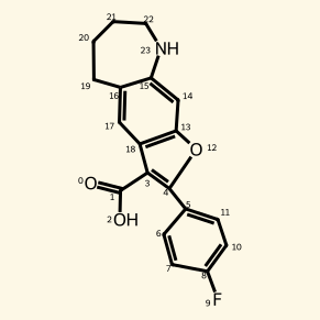 O=C(O)c1c(-c2ccc(F)cc2)oc2cc3c(cc12)CCCCN3